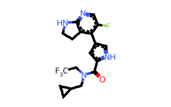 O=C(c1cc(-c2c(F)cnc3c2CCN3)c[nH]1)N(CC1CC1)CC(F)(F)F